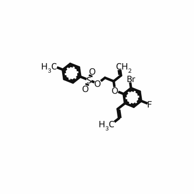 C=CC(COS(=O)(=O)c1ccc(C)cc1)Oc1c(Br)cc(F)cc1C=CC